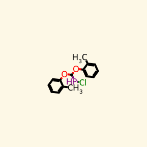 Cc1ccccc1OC(Oc1ccccc1C)PCl